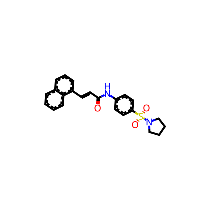 O=C(C=Cc1cccc2ccccc12)Nc1ccc(S(=O)(=O)N2CCCC2)cc1